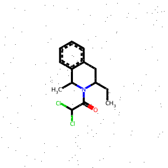 CCC1Cc2ccccc2C(C)N1C(=O)C(Cl)Cl